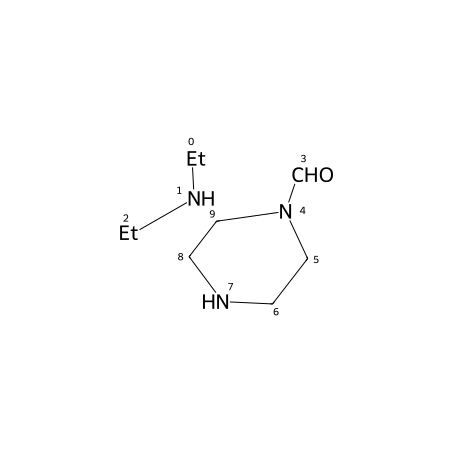 CCNCC.O=CN1CCNCC1